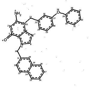 Nc1nc(=O)c2c(ncn2Cc2ccc3ccccc3c2)n1Cc1cccc(Oc2ccccc2)c1